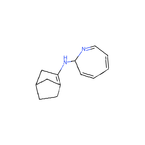 C1=CC=NC(NC2=C3CCC(C3)C2)C=C1